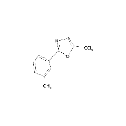 Cc1cccc(-c2nnc(C(Cl)(Cl)Cl)o2)c1